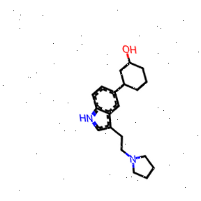 OC1CCCC(c2ccc3[nH]cc(CCN4CCCC4)c3c2)C1